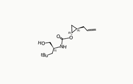 C=CC[C@@H]1C[C@H]1OC(=O)N[C@H](CO)CC(C)(C)C